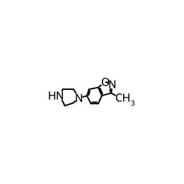 Cc1noc2cc(N3CCNCC3)ccc12